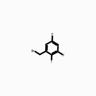 Fc1cc(F)c(I)c(CBr)c1